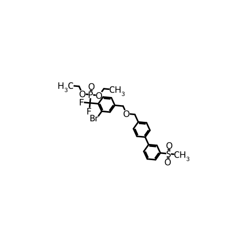 CCOP(=O)(OCC)C(F)(F)c1ccc(COCc2ccc(-c3cccc(S(C)(=O)=O)c3)cc2)cc1Br